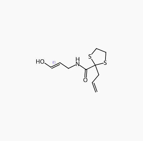 C=CCC1(C(=O)NC/C=C/O)SCCS1